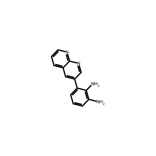 Nc1cccc(-c2cnc3ncccc3c2)c1N